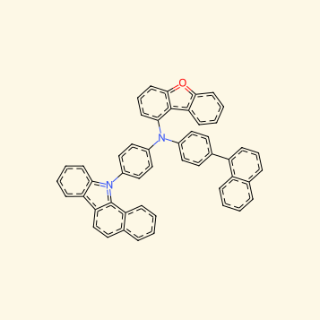 c1ccc2c(-c3ccc(N(c4ccc(-n5c6ccccc6c6ccc7ccccc7c65)cc4)c4cccc5oc6ccccc6c45)cc3)cccc2c1